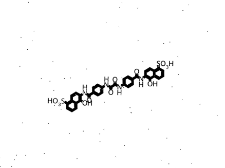 O=C(Nc1ccc(C(=O)Nc2ccc3c(S(=O)(=O)O)cccc3c2O)cc1)C(=O)Nc1ccc(C(=O)Nc2ccc3c(S(=O)(=O)O)cccc3c2O)cc1